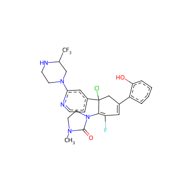 CN1CCN(C2=C(F)C=C(c3ccccc3O)CC2(Cl)c2ccnc(N3CCNC(C(F)(F)F)C3)c2)C1=O